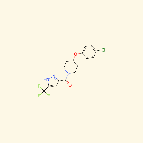 O=C(c1cc(C(F)(F)F)[nH]n1)N1CCC(Oc2ccc(Cl)cc2)CC1